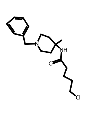 CC1(NC(=O)CCCCCl)CCN(Cc2ccccc2)CC1